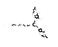 C/C=C1\CC2C=Nc3cc(OCc4cc(OCCOCCOCCOCCC(=O)OC)cc(COc5cc6c(cc5OC)C(=O)N5C/C(=C/C)C[C@H]5C=N6)n4)c(OC)cc3C(=O)N2C1